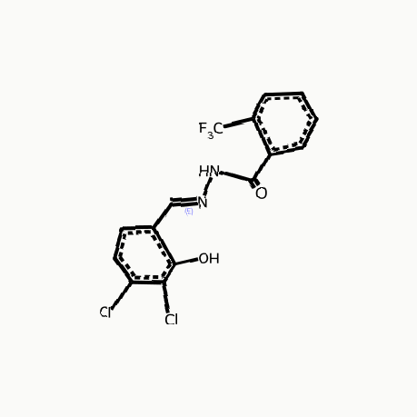 O=C(N/N=C/c1ccc(Cl)c(Cl)c1O)c1ccccc1C(F)(F)F